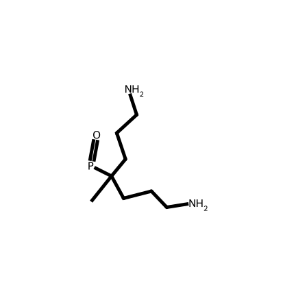 CC(CCCN)(CCCN)P=O